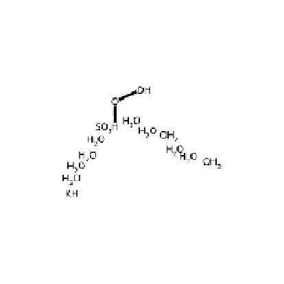 O.O.O.O.O.O.O.O.O.O.O=S(=O)(O)OO.[KH]